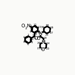 O=C(c1ccccc1)c1cc([N+](=O)[O-])ccc1N(C(=O)CN1CCOCC1)C1CCCCC1